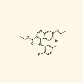 CCOC(=O)c1cnc2cc(OCC)c(Br)cc2c1Nc1cc(C)ccc1F